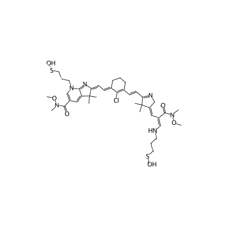 CON(C)C(=O)C1=CN(CCCSO)C2=N/C(=C/C=C3\CCCC(/C=C/C4=NC/C(=C\C(=C/NCCCSO)C(=O)N(C)OC)C4(C)C)=C3Cl)C(C)(C)C2=C1